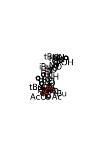 CC[C@H](C)[C@H](NC(=O)NC(=O)C1CC2(O)c3ccccc3NC2N1C(=O)OC(C)(C)C)C(=O)NCC(=O)NC(CSC(c1ccccc1)(c1ccccc1)c1ccccc1)C(=O)NC(CC(=O)NC(c1ccccc1)(c1ccccc1)c1ccccc1)C(=O)N1C[C@H](OC(C)(C)C)C[C@H]1C(=O)N[C@H](C(=O)OC(C)(C)C)[C@@H](C)[C@H](COC(C)=O)OC(C)=O